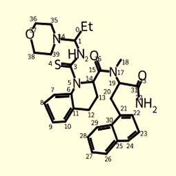 CCC(NC(=S)N1c2ccccc2CCC1C(=O)N(C)C(Cc1cccc2ccccc12)C(N)=O)N1CCOCC1